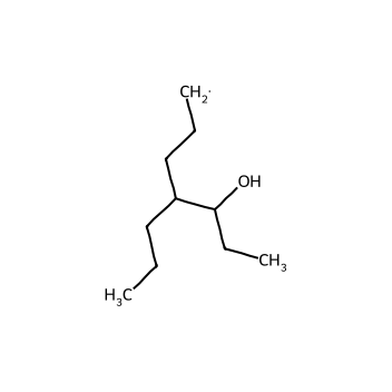 [CH2]CCC(CCC)C(O)CC